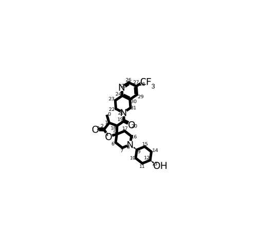 CC1C(=O)OC2(CCN([C@H]3CC[C@@H](O)CC3)CC2)C1C(=O)N1CCc2ncc(C(F)(F)F)cc2C1